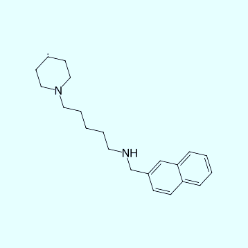 [CH]1CCN(CCCCCNCc2ccc3ccccc3c2)CC1